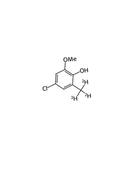 [2H]C([2H])([2H])c1cc(Cl)cc(OC)c1O